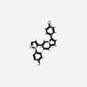 Fc1ccc(-n2nccc2-c2ccc3ccc(-c4ccc(Cl)cc4)n3c2)cc1